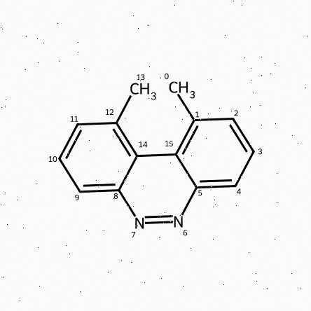 Cc1cccc2nnc3cccc(C)c3c12